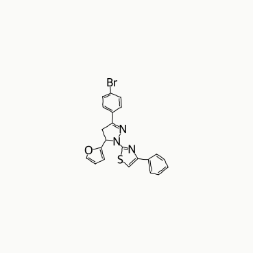 Brc1ccc(C2=NN(c3nc(-c4ccccc4)cs3)C(c3ccco3)C2)cc1